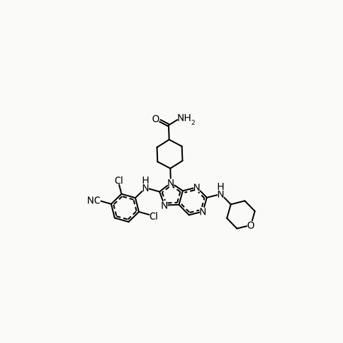 N#Cc1ccc(Cl)c(Nc2nc3cnc(NC4CCOCC4)nc3n2C2CCC(C(N)=O)CC2)c1Cl